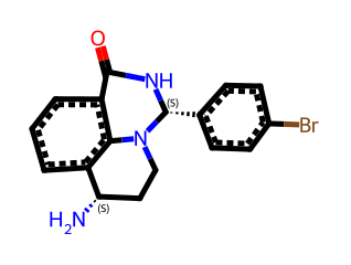 N[C@H]1CCN2c3c(cccc31)C(=O)N[C@@H]2c1ccc(Br)cc1